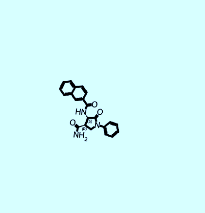 NC(=O)[C@@H]1CN(c2ccccc2)C(=O)[C@H]1NC(=O)c1ccc2ccccc2c1